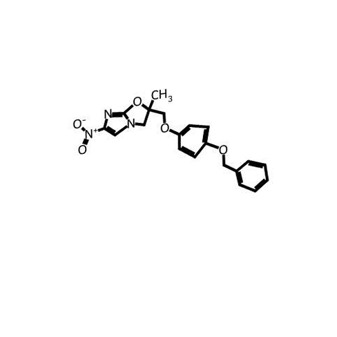 CC1(COc2ccc(OCc3ccccc3)cc2)Cn2cc([N+](=O)[O-])nc2O1